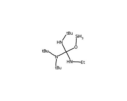 CCNC(NC(C)(C)C)(O[SiH3])N(C(C)(C)C)C(C)(C)C